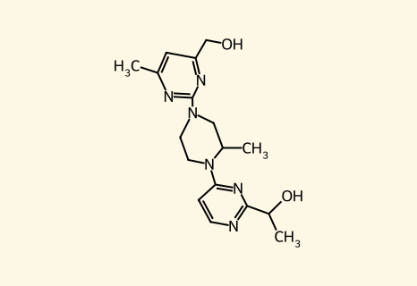 Cc1cc(CO)nc(N2CCN(c3ccnc(C(C)O)n3)C(C)C2)n1